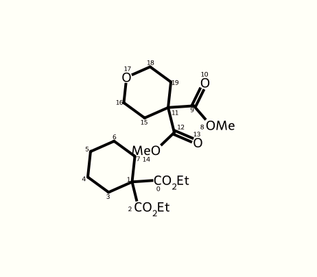 CCOC(=O)C1(C(=O)OCC)CCCCC1.COC(=O)C1(C(=O)OC)CCOCC1